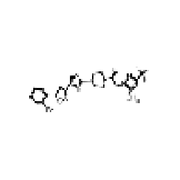 Cc1cc(C(F)(F)F)nn1CC(=O)N1CCC(c2nc(C3=NO[C@@H](c4ccccc4Br)C3)cs2)CC1